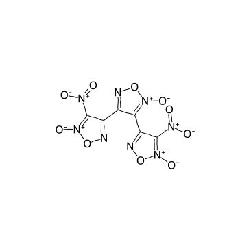 O=[N+]([O-])c1c(-c2no[n+]([O-])c2-c2no[n+]([O-])c2[N+](=O)[O-])no[n+]1[O-]